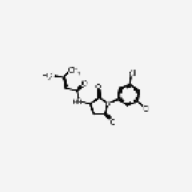 CC(C)=CC(=O)NC1CC(=O)N(c2cc(Cl)cc(Cl)c2)C1=O